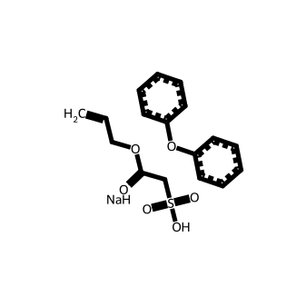 C=CCOC(=O)CS(=O)(=O)O.[NaH].c1ccc(Oc2ccccc2)cc1